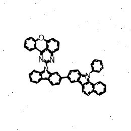 c1ccc(-n2c3ccc(-c4ccc5c6ccccc6n(-c6nc7c8c(cccc8n6)Oc6ccccc6-7)c5c4)cc3c3ccc4ccccc4c32)cc1